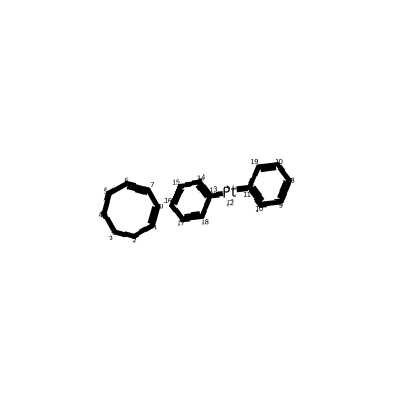 C1=C\CCCC\C=C/1.c1cc[c]([Pt][c]2ccccc2)cc1